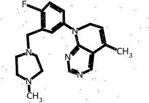 CC1=CCN(c2ccc(F)c(CN3CCN(C)CC3)c2)c2ncncc21